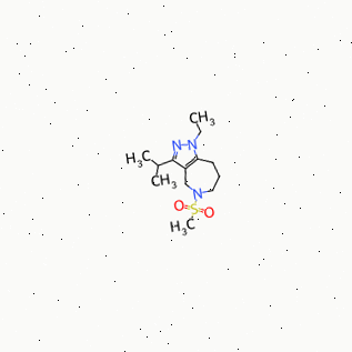 CCn1nc(C(C)C)c2c1CCCN(S(C)(=O)=O)C2